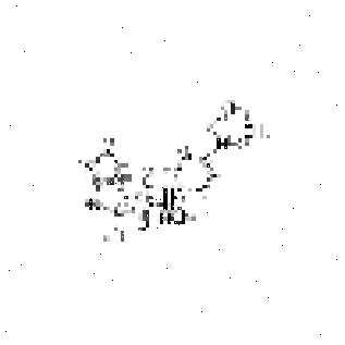 CCN(CC)c1ccc(NS(=O)(=O)c2c(Cl)nc3sccn23)cc1.Cl